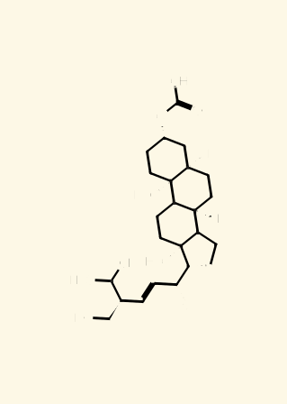 CC[C@H](/C=C/[C@@H](C)[C@H]1CCC2[C@@H]3CC[C@@H]4C[C@@H](OC(C)=O)CC[C@]4(C)C3CC[C@@]21C)C(C)C